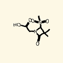 CC1(C)C(=O)N(CC(=O)O)C1S(C)(=O)=O